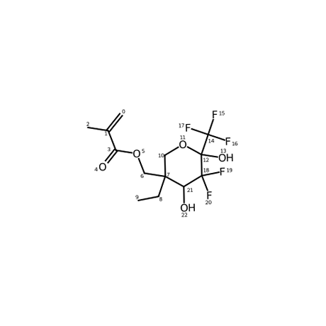 C=C(C)C(=O)OCC1(CC)COC(O)(C(F)(F)F)C(F)(F)C1O